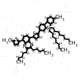 CCCCCCCC[Si]1(CCCCCCCC)c2cc(C)ccc2-c2ccc(-c3ccc(-c4ccc(-c5ccc(C)s5)c5nc(CCCCC)c(CCCCC)nc45)s3)cc21